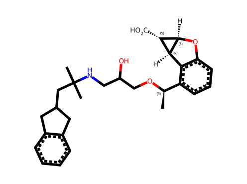 C[C@@H](OCC(O)CNC(C)(C)CC1Cc2ccccc2C1)c1cccc2c1[C@@H]1[C@H](O2)[C@H]1C(=O)O